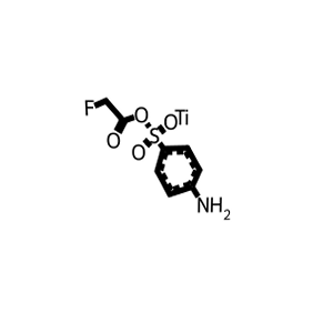 Nc1ccc(S(=O)(=O)OC(=O)CF)cc1.[Ti]